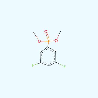 COP(=O)(OC)c1cc(F)cc(F)c1